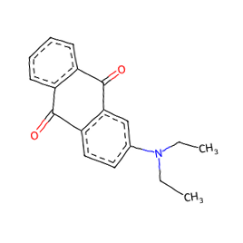 CCN(CC)c1ccc2c(c1)C(=O)c1ccccc1C2=O